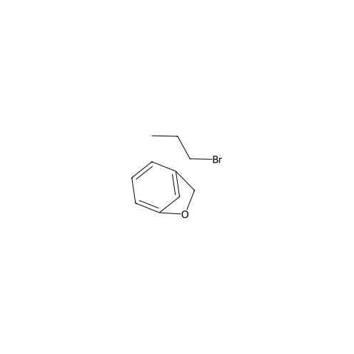 CCCBr.c1cc2cc(c1)OC2